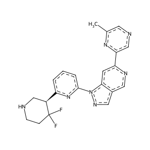 Cc1cncc(-c2cc3c(cn2)cnn3-c2cccc([C@@H]3CNCCC3(F)F)n2)n1